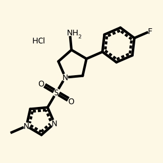 Cl.Cn1cnc(S(=O)(=O)N2CC(N)C(c3ccc(F)cc3)C2)c1